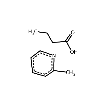 CCCC(=O)O.Cc1ccccn1